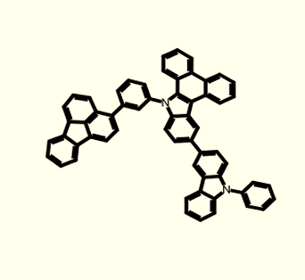 c1ccc(-n2c3ccccc3c3cc(-c4ccc5c(c4)c4c6ccccc6c6ccccc6c4n5-c4cccc(-c5ccc6c7c(cccc57)-c5ccccc5-6)c4)ccc32)cc1